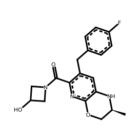 C[C@H]1COc2nc(C(=O)N3CC(O)C3)c(Cc3ccc(F)cc3)cc2N1